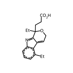 CCc1cccc2c1C1=CCOC(CC)(CCC(=O)O)C1=N2